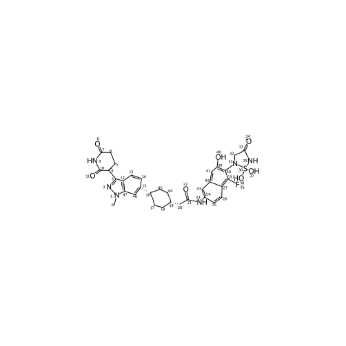 Cn1nc(C2CCC(=O)NC2=O)c2ccc([C@H]3CC[C@@H](CC(=O)Nc4ccc5c(F)c(N6CC(=O)NS6(O)O)c(O)cc5c4)CC3)cc21